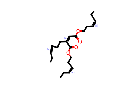 CC/C=C\CCOC(=O)/C=C(/CC/C=C\CC)C(=O)OCC/C=C\CC